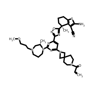 C=CC(=O)N1CCC2(CC1)CN(c1cc(-c3noc([C@@]4(C)CCCc5sc(N)c(C#N)c54)n3)nc(N3CCCN(CCCOC)C[C@@H]3C)n1)C2